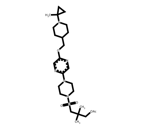 CC(=O)OCC(C)(C)CS(=O)(=O)N1CCN(c2cnc(OCC3CCN(C4(C)CC4)CC3)cn2)CC1